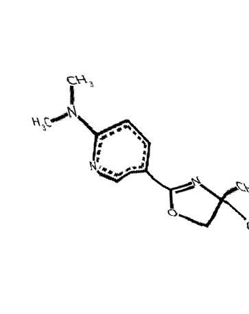 CN(C)c1ccc(C2=NC(C)(C)CO2)cn1